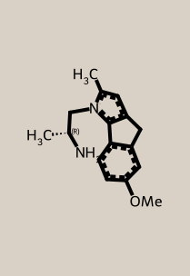 COc1ccc2c(c1)Cc1cc(C)n(C[C@@H](C)N)c1-2